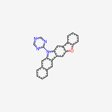 c1ccc2cc3c(cc2c1)c1cc2oc4ccccc4c2cc1n3-c1ncncn1